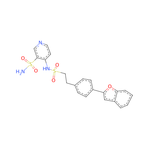 NS(=O)(=O)c1cnccc1NS(=O)(=O)CCc1ccc(-c2cc3ccccc3o2)cc1